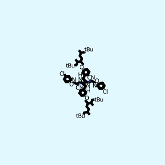 CC(CCC(COc1cccc(-c2[nH]/c(=C(/C#N)c3nc4cc(Cl)ccc4o3)c3c(-c4cccc(OCC(CCC(C)CC(C)(C)C)C(C)CC(C)(C)C)c4)[nH]/c(=C(/C#N)c4nc5cc(Cl)ccc5o4)c23)c1)C(C)CC(C)(C)C)CC(C)(C)C